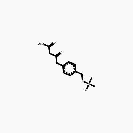 COC(=O)CC(=O)Cc1ccc(CO[Si](C)(C)C(C)(C)C)cc1